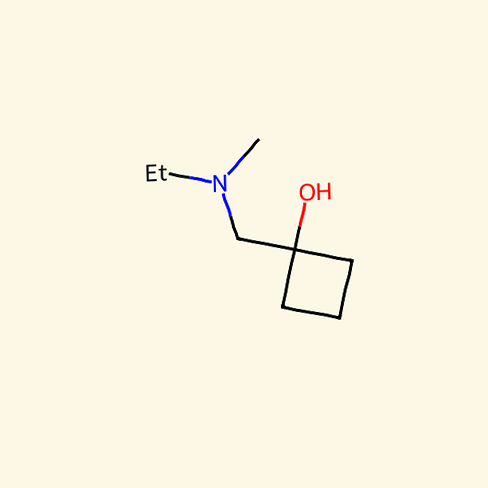 CCN(C)CC1(O)CCC1